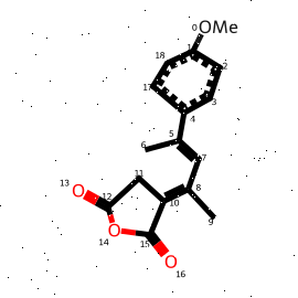 COc1ccc(C(C)=CC(C)=C2CC(=O)OC2=O)cc1